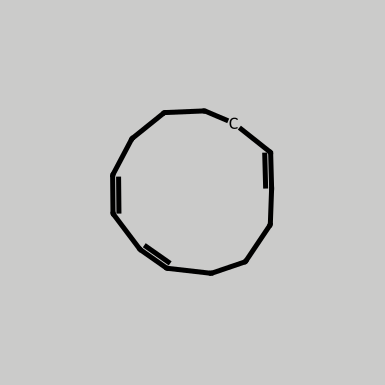 C1=CCCCC=CCCCCC=C1